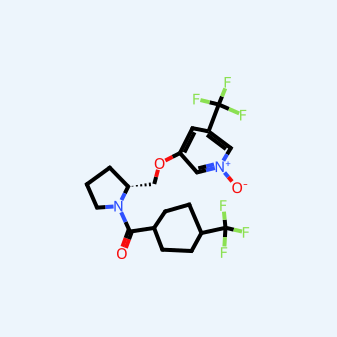 O=C(C1CCC(C(F)(F)F)CC1)N1CCC[C@@H]1COc1cc(C(F)(F)F)c[n+]([O-])c1